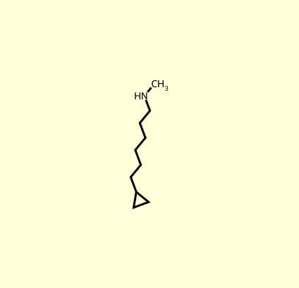 CNCCCCCCC1CC1